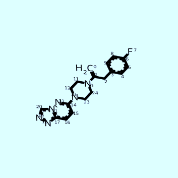 C=C(Cc1ccc(F)cc1)N1CCN(c2ccc3nncn3n2)CC1